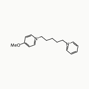 COc1cc[n+](CCCCC[n+]2ccccc2)cc1